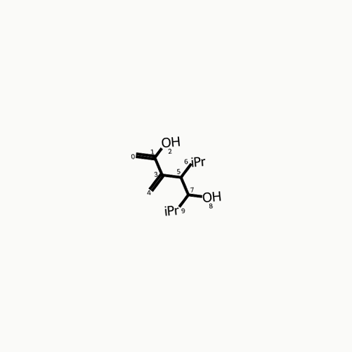 C=C(O)C(=C)C(C(C)C)C(O)C(C)C